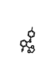 Cc1ccc(Sc2cccc(F)c2C2OCCO2)cc1